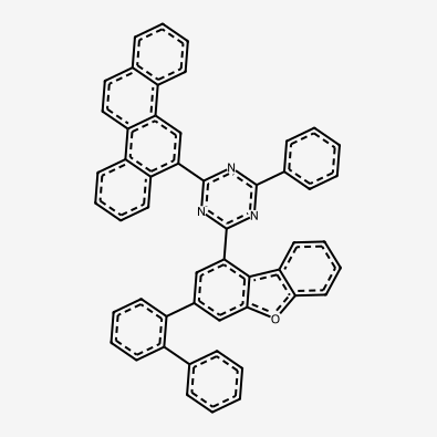 c1ccc(-c2nc(-c3cc4c5ccccc5ccc4c4ccccc34)nc(-c3cc(-c4ccccc4-c4ccccc4)cc4oc5ccccc5c34)n2)cc1